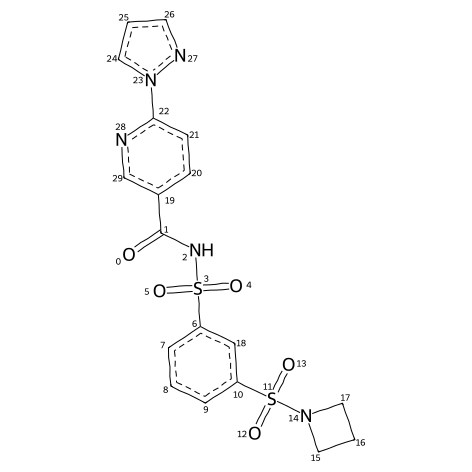 O=C(NS(=O)(=O)c1cccc(S(=O)(=O)N2CCC2)c1)c1ccc(-n2cccn2)nc1